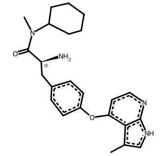 Cc1c[nH]c2nccc(Oc3ccc(C[C@H](N)C(=O)N(C)C4CCCCC4)cc3)c12